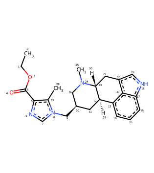 CCOC(=O)c1ncn(C[C@@H]2C[C@@H]3c4cccc5[nH]cc(c45)C[C@H]3N(C)C2)c1C